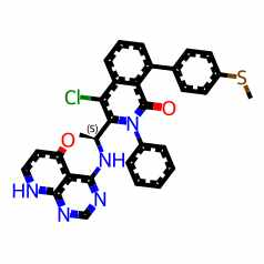 CSc1ccc(-c2cccc3c(Cl)c([C@H](C)Nc4ncnc5[nH]ccc(=O)c45)n(-c4ccccc4)c(=O)c23)cc1